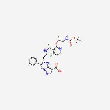 CC(CNC(=O)OC(C)(C)C)Oc1nccc(F)c1C(C)NCCc1nc2c(C(=O)O)cnn2cc1-c1ccccc1